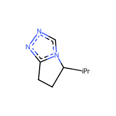 CC(C)C1CCc2nncn21